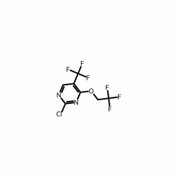 FC(F)(F)COc1nc(Cl)ncc1C(F)(F)F